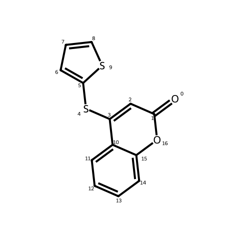 O=c1cc(Sc2cccs2)c2ccccc2o1